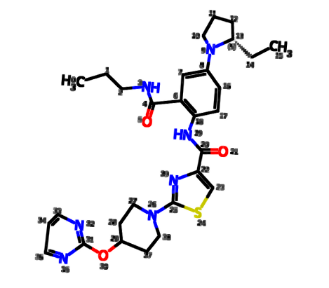 CCCNC(=O)c1cc(N2CCC[C@@H]2CC)ccc1NC(=O)c1csc(N2CCC(Oc3ncccn3)CC2)n1